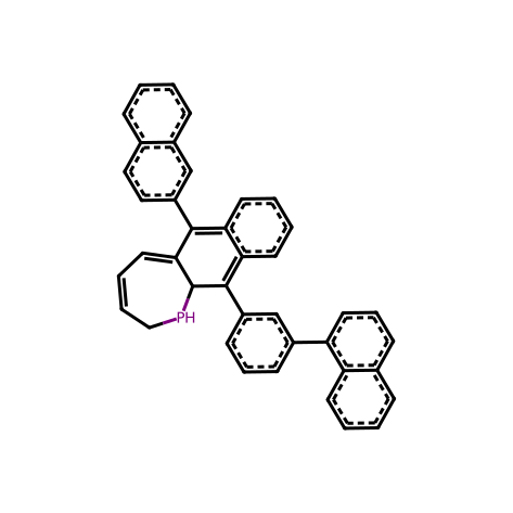 C1=CCPC2C(=C1)C(c1ccc3ccccc3c1)=c1ccccc1=C2c1cccc(-c2cccc3ccccc23)c1